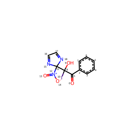 O=C(c1ccccc1)C(O)(I)C1([N+](=O)[O-])N=CC=N1